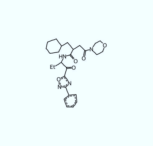 CCC(NC(=O)C(CC(=O)N1CCOCC1)CC1CCCCC1)C(=O)c1nc(-c2ccccc2)no1